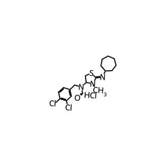 CN1C(=NC2CCCCCC2)SCC1N(C=O)Cc1ccc(Cl)c(Cl)c1.Cl